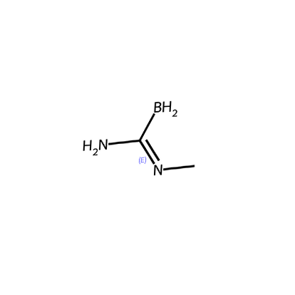 B/C(N)=N\C